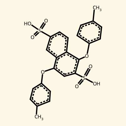 Cc1ccc(Oc2cc(S(=O)(=O)O)c(Oc3ccc(C)cc3)c3ccc(S(=O)(=O)O)cc23)cc1